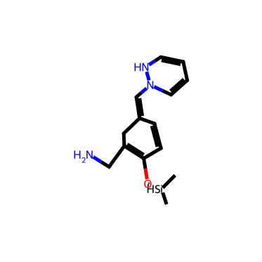 C[SiH](C)OC1=C(CN)CC(=CN2C=CC=CN2)C=C1